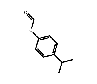 CC(C)c1ccc(OC=O)cc1